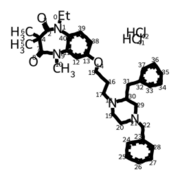 CCN1C(=O)C(C)(C)C(=O)N(C)c2cc(OCCCN3CCN(Cc4ccccc4)CC3Cc3ccccc3)ccc21.Cl.Cl